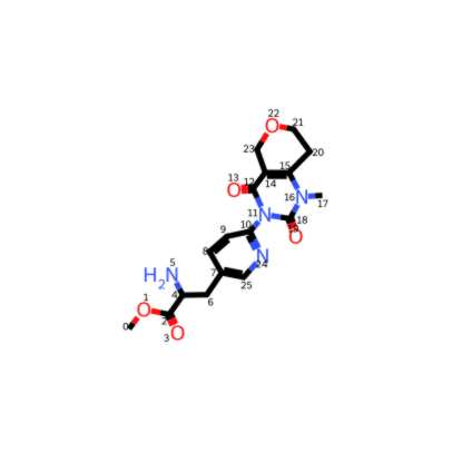 COC(=O)C(N)Cc1ccc(-n2c(=O)c3c(n(C)c2=O)CCOC3)nc1